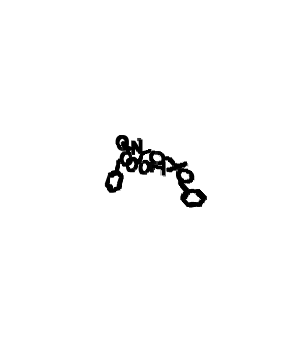 CN(C(=O)OCc1ccccc1)C(COCC(C)(C)OCc1ccccc1)C(=O)O